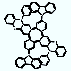 c1ccc(-n2c3ccccc3oc3cc4c5ccc(-n6c7ccccc7c7ccccc76)cc5c5cc6c(cc5c5ccc(-n7c8ccccc8c8ccccc87)cc5c4cc32)oc2ccccc2n6-c2ccccc2)cc1